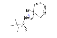 CC(C)(C)[S@+]([O-])/N=C/C1(Br)C=CC=NC1